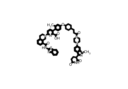 Cc1cc(OC2CCC(CCC(=O)N3CCN(c4ccc5c(C6CCC(=O)NC6=O)nn(C)c5c4)CC3)CC2)ccc1-c1ccc(N2CCc3cccc(C(=O)Nc4nc5ccccc5s4)c3C2)nc1C(=O)O